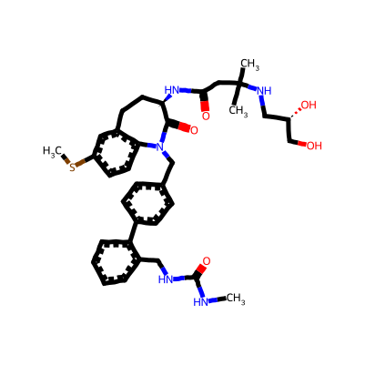 CNC(=O)NCc1ccccc1-c1ccc(CN2C(=O)[C@H](NC(=O)CC(C)(C)NC[C@H](O)CO)CCc3cc(SC)ccc32)cc1